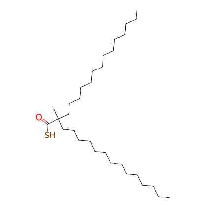 CCCCCCCCCCCCCCC(C)(CCCCCCCCCCCCCC)C(=O)S